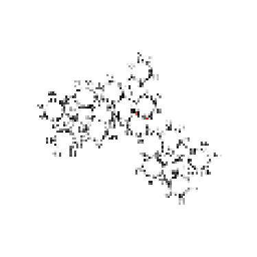 c1ccc(-c2ccccc2-c2ccccc2N(c2ccc(-c3ccc4c(c3)C(c3ccccc3)(c3ccccc3)c3ccccc3-4)cc2)c2cccc3c2-c2ccccc2C3(c2ccccc2)c2ccccc2)cc1